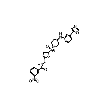 O=C(NCc1ccc(S(=O)(=O)N2CCC(Nc3cccc(-c4cnco4)c3)CC2)s1)c1cccc([N+](=O)[O-])c1